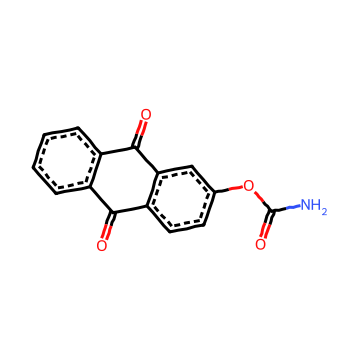 NC(=O)Oc1ccc2c(c1)C(=O)c1ccccc1C2=O